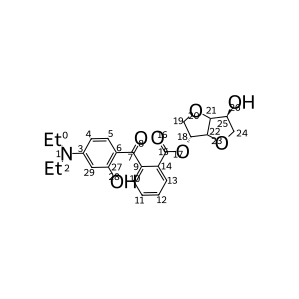 CCN(CC)c1ccc(C(=O)c2ccccc2C(=O)O[C@@H]2COC3C2OC[C@@H]3O)c(O)c1